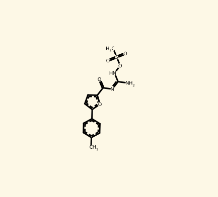 Cc1ccc(-c2ccc(C(=O)N=C(N)NOS(C)(=O)=O)o2)cc1